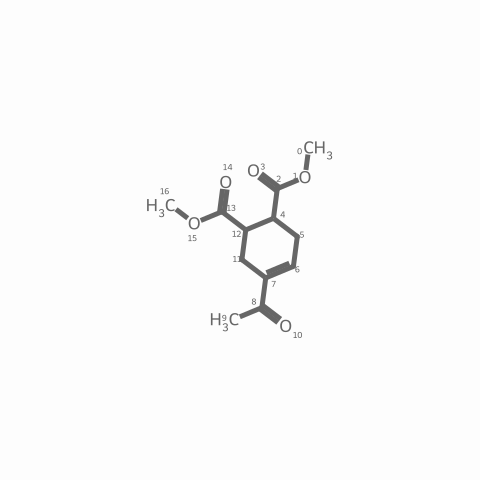 COC(=O)C1CC=C(C(C)=O)CC1C(=O)OC